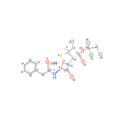 C[C@@]1(CCl)S[C@@H]2[C@H](NC(=O)Cc3ccccc3)C(=O)N2[C@H]1C(=O)OC(Cl)(Cl)CCl